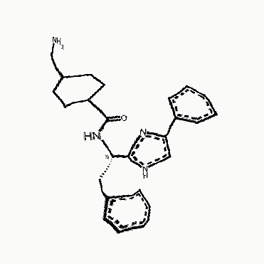 NCC1CCC(C(=O)N[C@@H](Cc2ccccc2)c2nc(-c3ccccc3)c[nH]2)CC1